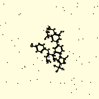 Cc1nc(C(F)(F)F)cn1-c1ccc(-c2cc(F)c(CO)c([S+](C)[O-])c2)cc1N(N)/C(=C\N)Cc1ccc(Cl)cc1